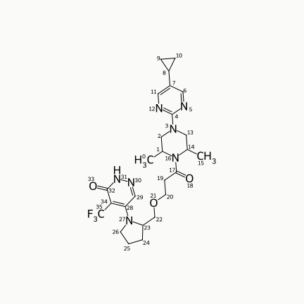 CC1CN(c2ncc(C3CC3)cn2)CC(C)N1C(=O)CCOCC1CCCN1c1cn[nH]c(=O)c1C(F)(F)F